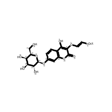 CCCCCCCCC=COc1c(O)c2ccc(O[C@@H]3O[C@H](CO)[C@H](O)[C@H](O)[C@H]3O)cc2oc1=O